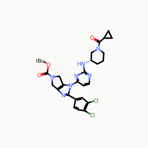 CC(C)(C)OC(=O)N1Cc2nc(-c3ccc(Cl)c(Cl)c3)n(-c3ccnc(N[C@H]4CCCN(C(=O)C5CC5)C4)n3)c2C1